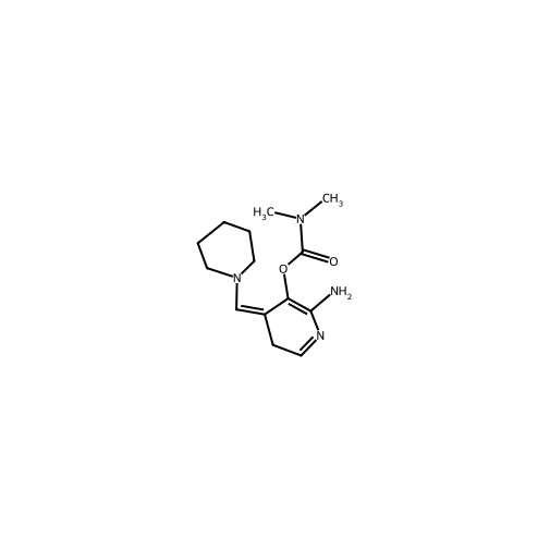 CN(C)C(=O)OC1=C(N)N=CCC1=CN1CCCCC1